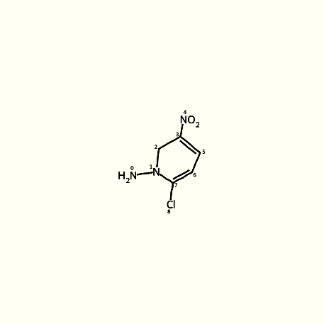 NN1CC([N+](=O)[O-])=CC=C1Cl